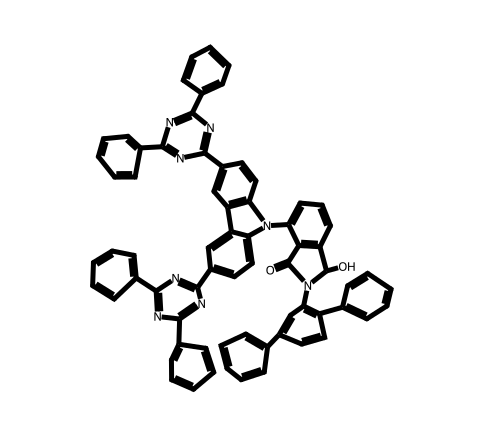 O=C1c2c(cccc2-n2c3ccc(-c4nc(-c5ccccc5)nc(-c5ccccc5)n4)cc3c3cc(-c4nc(-c5ccccc5)nc(-c5ccccc5)n4)ccc32)C(O)N1c1cc(-c2ccccc2)ccc1-c1ccccc1